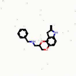 C=C1Cc2c(ccc3c2OC(CNCc2ccccc2)CO3)N1